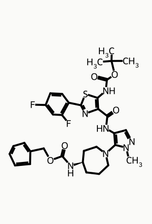 Cn1ncc(NC(=O)c2nc(-c3ccc(F)cc3F)sc2NC(=O)OC(C)(C)C)c1N1CCC[C@@H](NC(=O)OCc2ccccc2)CC1